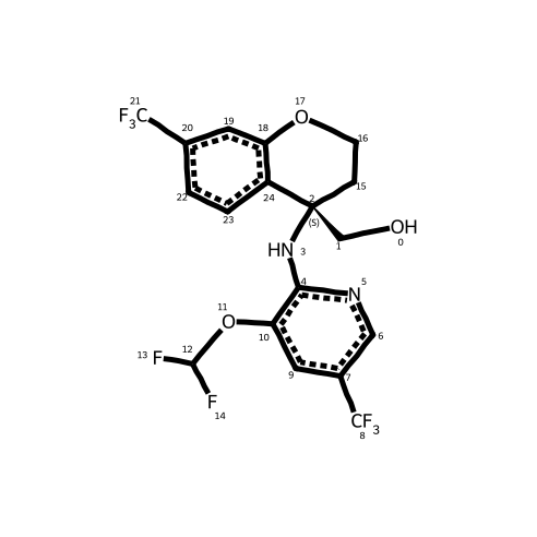 OC[C@]1(Nc2ncc(C(F)(F)F)cc2OC(F)F)CCOc2cc(C(F)(F)F)ccc21